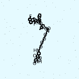 C#Cc1c(F)ccc2cccc(-c3ncc4c(N5CC6CCC(C5)N6)nc(OC[C@@]56CC[C@@H](COC(=O)N(C)CCOCCOCCOCCOCCNC7C=C8C(=O)N(C9CCC(=O)NC9=O)C(=O)C8=CC7)N5CC(=C)C6)nc4c3F)c12